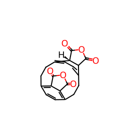 O=C1OC(=O)c2c3ccc(c21)CCC1=CC=C(CC3)[C@@H]2C(=O)OC(=O)C12